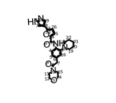 O=C(Nc1ccc(CC(=O)N2CCOCC2)cc1N1CCCCC1)c1ccc(-c2cn[nH]c2)o1